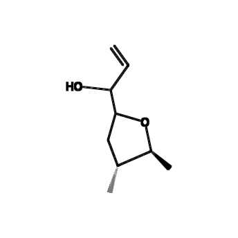 C=CC(O)C1C[C@@H](C)[C@H](C)O1